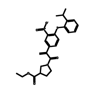 C=C(C(=O)N1CCC(C(=O)OCC)C1)c1ccc(Sc2ccccc2C(C)C)c([N+](=O)[O-])c1